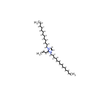 CCCCCCCCCCCCCCn1cc[n+](CCCCCCCCCCCCC)c1CCC